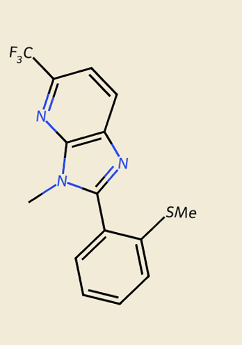 CSc1ccccc1-c1nc2ccc(C(F)(F)F)nc2n1C